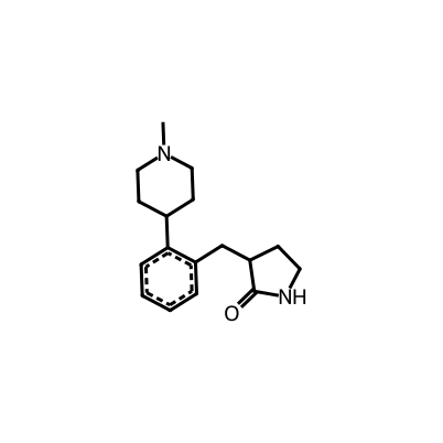 CN1CCC(c2ccccc2CC2CCNC2=O)CC1